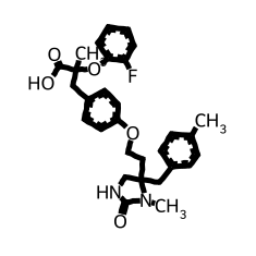 Cc1ccc(CC2(CCOc3ccc(CC(C)(Oc4ccccc4F)C(=O)O)cc3)CNC(=O)N2C)cc1